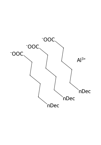 CCCCCCCCCCCCCCC(=O)[O-].CCCCCCCCCCCCCCC(=O)[O-].CCCCCCCCCCCCCCC(=O)[O-].[Al+3]